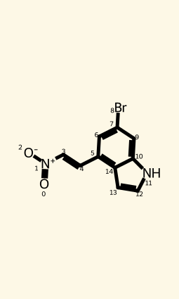 O=[N+]([O-])/C=C/c1cc(Br)cc2[nH]ccc12